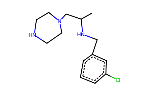 CC(CN1CCNCC1)NCc1[c]ccc(Cl)c1